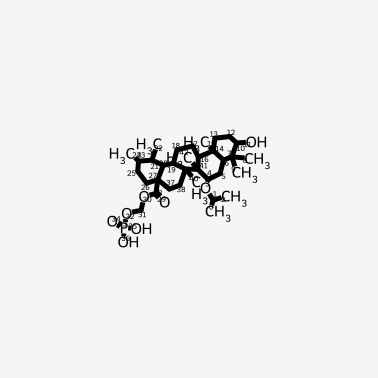 CC(C)OC1CC2C(C)(C)C(O)CCC2(C)C2CCC3C4C(C)C(C)CCC4(C(=O)OCOP(=O)(O)O)CCC3(C)C12C